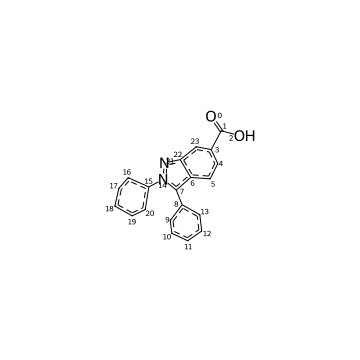 O=C(O)c1ccc2c(-c3ccccc3)n(-c3ccccc3)nc2c1